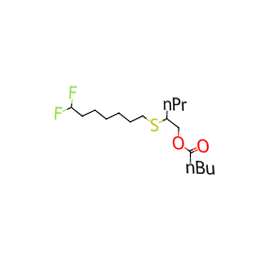 CCCCC(=O)OCC(CCC)SCCCCCCC(F)F